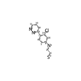 S=CC=Nc1ccc(-c2cccnn2)c(Cl)c1